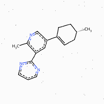 Cc1ncc(C2=CC[C@@H](C)CC2)cc1-c1ncccn1